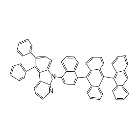 c1ccc(-c2ccc3c(c2-c2ccccc2)c2cccnc2n3-c2ccc(-c3c4ccccc4c(-c4c5ccccc5cc5ccccc45)c4ccccc34)c3ccccc23)cc1